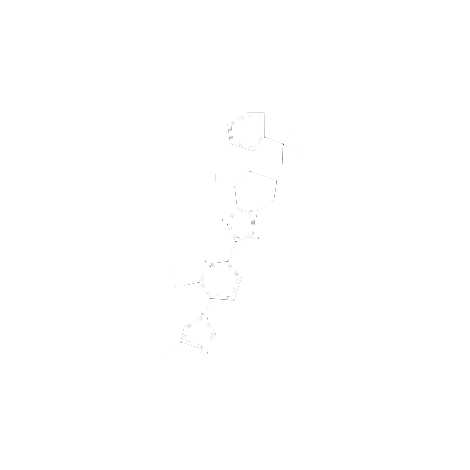 COc1nc(-c2nc3n(n2)CC[C@@H](c2ccccc2C(F)(F)F)[C@H]3F)ccc1-n1cnc(C)c1